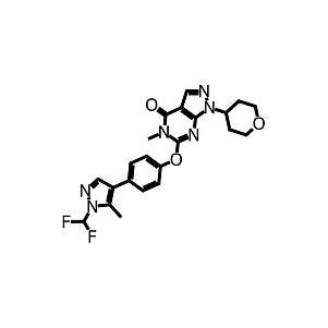 Cc1c(-c2ccc(Oc3nc4c(cnn4C4CCOCC4)c(=O)n3C)cc2)cnn1C(F)F